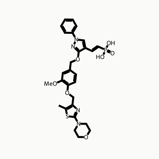 COc1cc(COc2nn(-c3ccccc3)cc2C=CP(=O)(O)O)ccc1OCc1nc(N2CCOCC2)sc1C